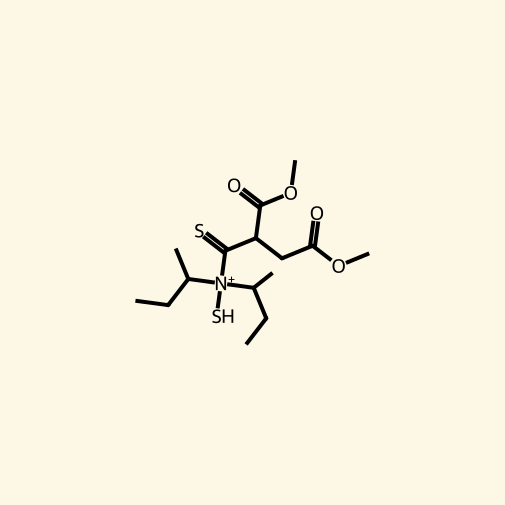 CCC(C)[N+](S)(C(=S)C(CC(=O)OC)C(=O)OC)C(C)CC